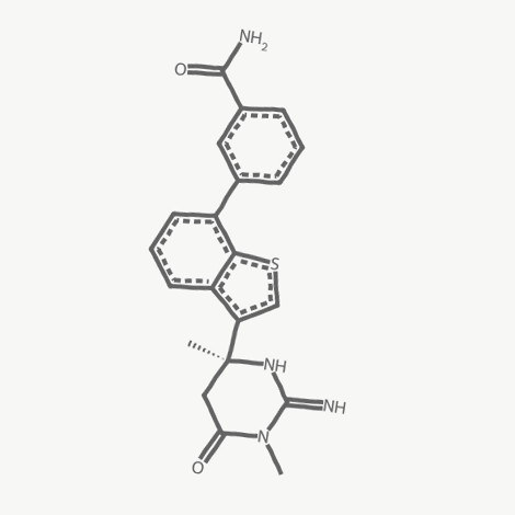 CN1C(=N)N[C@](C)(c2csc3c(-c4cccc(C(N)=O)c4)cccc23)CC1=O